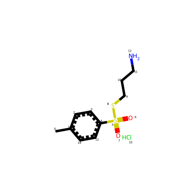 Cc1ccc(S(=O)(=O)SCCCN)cc1.Cl